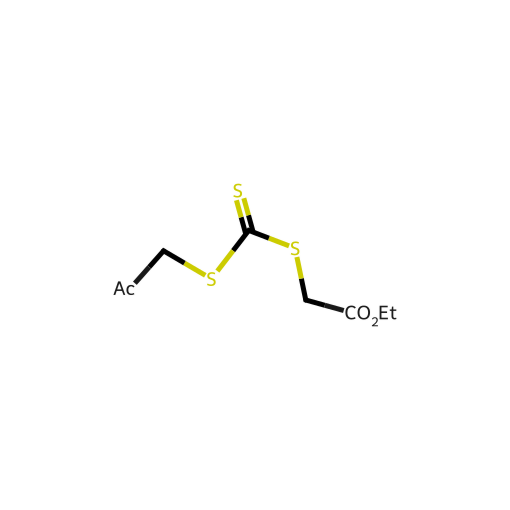 CCOC(=O)CSC(=S)SCC(C)=O